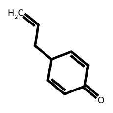 C=CCC1C=CC(=O)C=C1